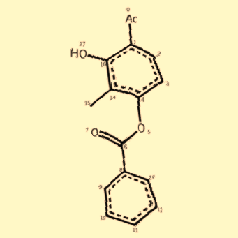 CC(=O)c1ccc(OC(=O)c2ccccc2)c(C)c1O